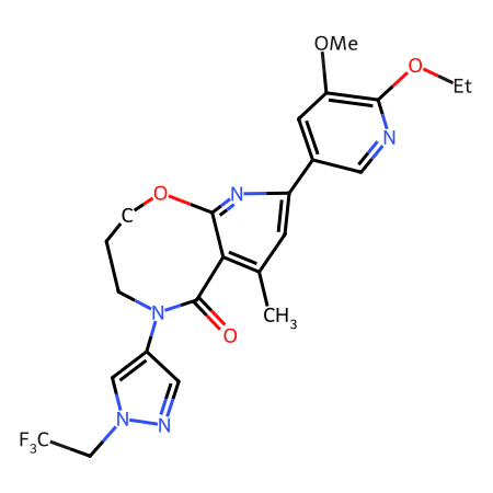 CCOc1ncc(-c2cc(C)c3c(n2)OCCCN(c2cnn(CC(F)(F)F)c2)C3=O)cc1OC